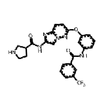 O=C(Nc1cccc(Oc2ccc3nc(NC(=O)C4CCNC4)cn3n2)c1)c1cccc(C(F)(F)F)c1